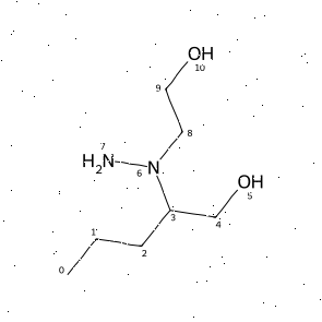 CCCC(CO)N(N)CCO